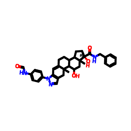 CC12Cc3cnn(-c4ccc(NC=O)cc4)c3C=C1CCC1C2C(O)CC2(C)C1CC[C@]2(O)C(=O)NCc1ccccc1